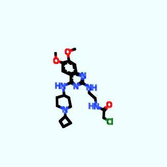 COc1cc2nc(NCCNC(=O)CCl)nc(NC3CCN(C4CCC4)CC3)c2cc1OC